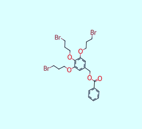 O=C(OCc1cc(OCCCBr)c(OCCCBr)c(OCCCBr)c1)c1ccccc1